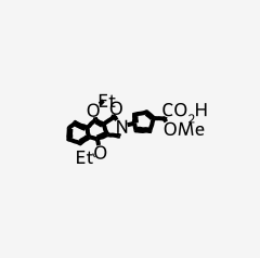 CCOc1c2c(c(OCC)c3ccccc13)C(=O)N(c1ccc(C(OC)C(=O)O)cc1)C2